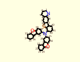 c1cnc2cc3c(cc2c1)sc1c(N(c2ccc4oc5ccccc5c4c2)c2ccc4oc5ccccc5c4c2)cccc13